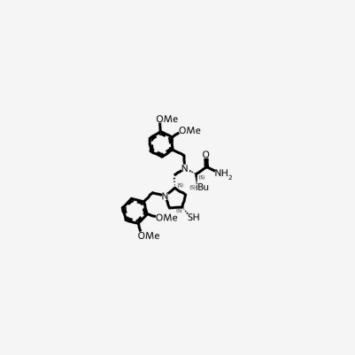 CC[C@H](C)[C@@H](C(N)=O)N(Cc1cccc(OC)c1OC)C[C@@H]1C[C@H](S)CN1Cc1cccc(OC)c1OC